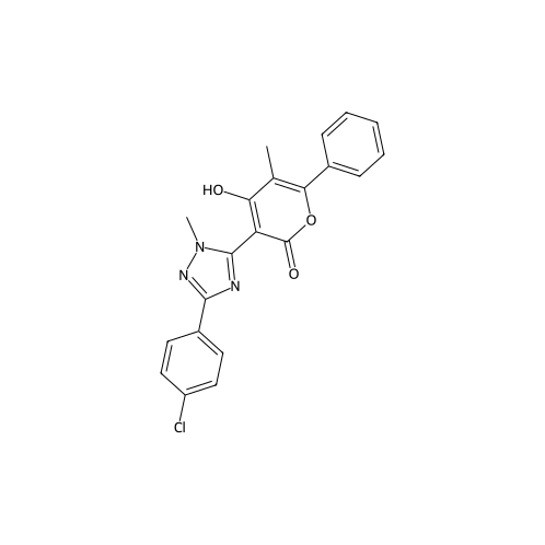 Cc1c(-c2ccccc2)oc(=O)c(-c2nc(-c3ccc(Cl)cc3)nn2C)c1O